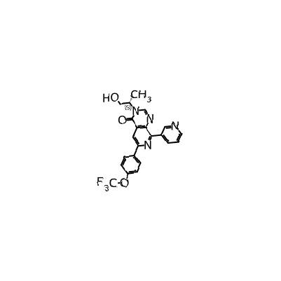 C[C@@H](CO)n1cnc2c(-c3cccnc3)nc(-c3ccc(OC(F)(F)F)cc3)cc2c1=O